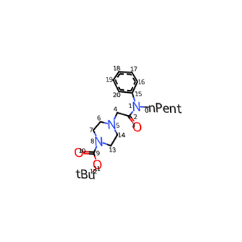 CCCCCN(C(=O)CN1CCN(C(=O)OC(C)(C)C)CC1)c1ccccc1